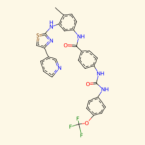 Cc1ccc(NC(=O)c2ccc(NC(=O)Nc3ccc(OC(F)(F)F)cc3)cc2)cc1Nc1nc(-c2cccnc2)cs1